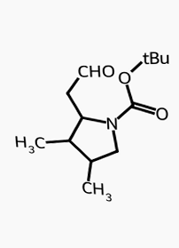 CC1CN(C(=O)OC(C)(C)C)C(CC=O)C1C